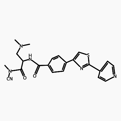 CN(C)CC(NC(=O)c1ccc(-c2csc(-c3ccncc3)n2)cc1)C(=O)N(C)C#N